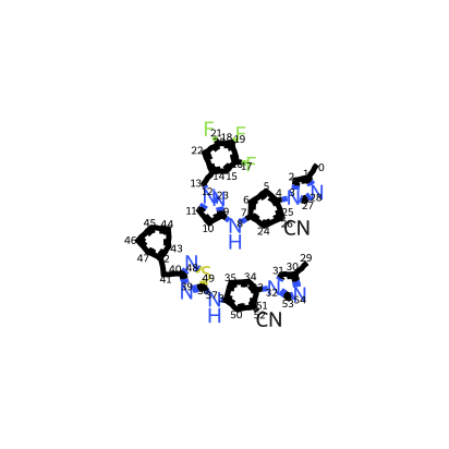 Cc1cn(-c2ccc(Nc3ccn(Cc4cc(F)c(F)c(F)c4)n3)cc2C#N)cn1.Cc1cn(-c2ccc(Nc3nc(Cc4ccccc4)ns3)cc2C#N)cn1